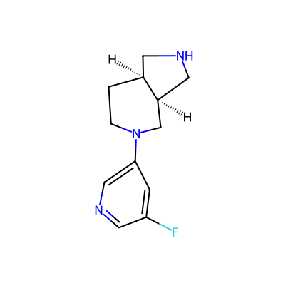 Fc1cncc(N2CC[C@H]3CNC[C@H]3C2)c1